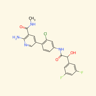 CNC(=O)c1cc(-c2ccc(NC(=O)C(O)c3cc(F)cc(F)c3)cc2Cl)cnc1N